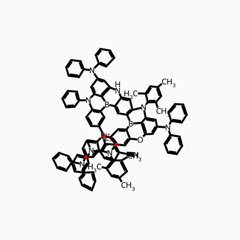 [C-]#[N+]c1ccc2c(c1)B1c3cc4c(cc3Nc3cc(N(c5ccccc5)c5ccccc5)cc(c31)N2c1ccccc1)N(c1c(C)cc(C)cc1C)c1cc(N(c2ccccc2)c2ccccc2)cc2c1B4c1cc3c(cc1O2)N(c1c(C)cc(C)cc1C)c1cc(N(c2ccccc2)c2ccccc2)cc2c1B3c1cc(C#N)ccc1N2c1ccccc1